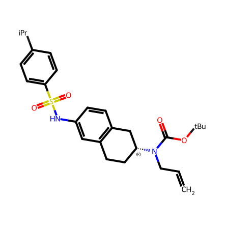 C=CCN(C(=O)OC(C)(C)C)[C@@H]1CCc2cc(NS(=O)(=O)c3ccc(C(C)C)cc3)ccc2C1